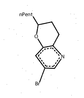 CCCCCC1CCc2ncc(Br)cc2O1